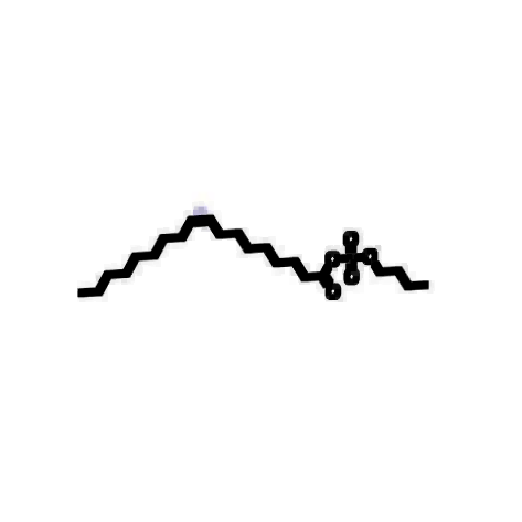 CCCCCCCC/C=C\CCCCCCCC(=O)OS(=O)(=O)OCCCC